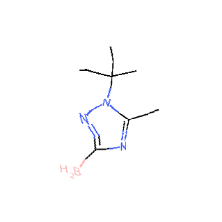 Bc1nc(C)n(C(C)(C)C)n1